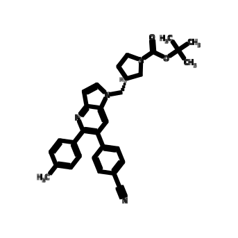 Cc1ccc(-c2nc3ccn(C[C@@H]4CCN(C(=O)OC(C)(C)C)C4)c3cc2-c2ccc(C#N)cc2)cc1